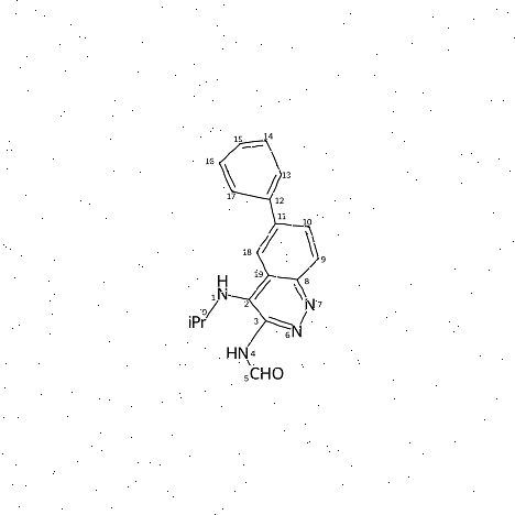 CC(C)Nc1c(NC=O)nnc2ccc(-c3ccccc3)cc12